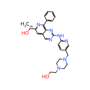 C[C@@H](O)c1cc2cnc(Nc3ccc(CN4CCN(CCO)CC4)cn3)nc2c(-c2ccccc2)n1